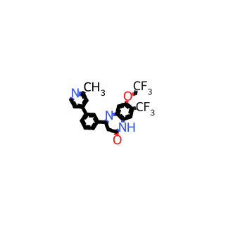 Cc1cc(-c2cccc(C3=Nc4cc(OCC(F)(F)F)c(C(F)(F)F)cc4NC(=O)C3)c2)ccn1